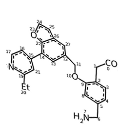 CCOC(=O)Cc1ccc(CN)cc1OCc1cc(-c2ccnc(CC)c2)c2occc2c1